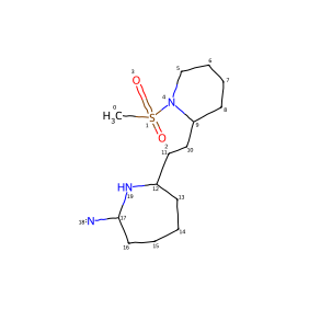 CS(=O)(=O)N1CCCCC1CCC1CCCCC([N])N1